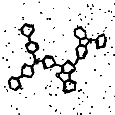 C1=Cc2c(c3cc(-c4cc(-c5ccc(N(c6ccc(-c7ccccc7)cc6)c6ccc(-c7ccccc7)cc6)cc5)c5oc6ccccc6c5c4)ccc3n2-c2ccccc2)CC1